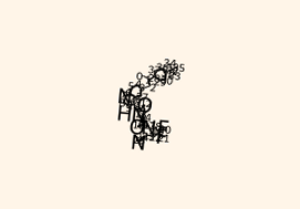 C/C(=C\c1ccc2nccc(C(=O)NCC(=O)N3CC(F)(F)C[C@H]3C#N)c2c1)c1ccc(C(C)(C)C)cc1